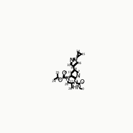 CNC(=O)N1c2ncc(-c3cnn(C4CC4)c3)cc2N(C(=O)OC(C)C)CC1C